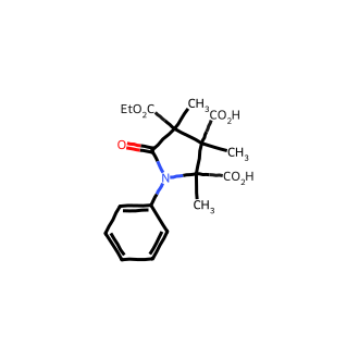 CCOC(=O)C1(C)C(=O)N(c2ccccc2)C(C)(C(=O)O)C1(C)C(=O)O